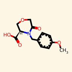 COc1ccc(CN2C(=O)COC[C@@H]2C(=O)O)cc1